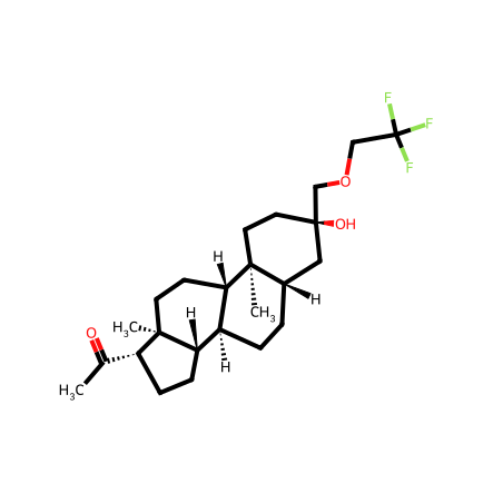 CC(=O)[C@H]1CC[C@H]2[C@@H]3CC[C@H]4C[C@@](O)(COCC(F)(F)F)CC[C@]4(C)[C@H]3CC[C@]12C